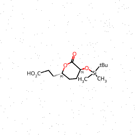 CC(C)(C)[Si](C)(C)O[C@H]1CC[C@H](CCC(=O)O)OC1=O